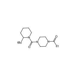 CCC(=O)N1CCN(C(=O)N2CCCCC2C(C)(C)C)CC1